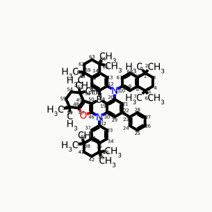 CC1(C)CCC(C)(C)c2cc(N3c4cc5c(cc4B4c6c3cc(-c3ccccc3)cc6N(c3ccc6c(c3)C(C)(C)CCC6(C)C)c3oc6c(c34)C(C)(C)CCC6(C)C)C(C)(C)CCC5(C)C)ccc21